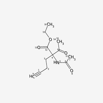 C#CCCC(NC(C)=O)(C(C)=O)C(=O)OCC